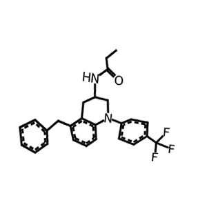 CCC(=O)NC1Cc2c(Cc3ccccc3)cccc2N(c2ccc(C(F)(F)F)cc2)C1